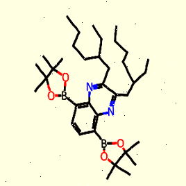 CCCCC(CC)Cc1nc2c(B3OC(C)(C)C(C)(C)O3)ccc(B3OC(C)(C)C(C)(C)O3)c2nc1CC(CC)CCCC